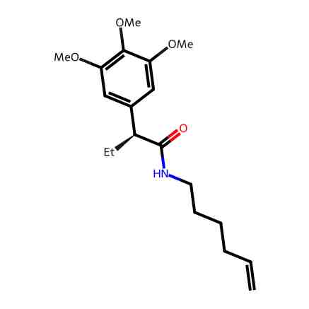 C=CCCCCNC(=O)[C@@H](CC)c1cc(OC)c(OC)c(OC)c1